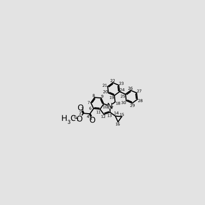 COC(=O)C(=O)c1cccc2c1cc(C1CC1)n2Cc1ccccc1-c1ccccc1